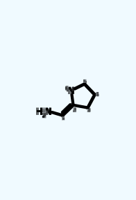 NC=C1CCC[N]1